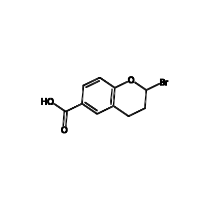 O=C(O)c1ccc2c(c1)CCC(Br)O2